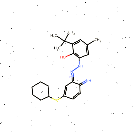 Cc1cc(N/N=C2/C=C(SC3CCCCC3)C=CC2=N)c(O)c(C(C)(C)C)c1